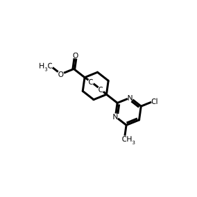 COC(=O)C12CCC(c3nc(C)cc(Cl)n3)(CC1)CC2